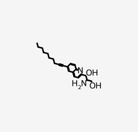 CCCCCCCCC#Cc1ccc2nc(C(O)C(N)CO)ccc2c1